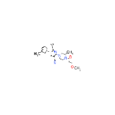 COCCC(=O)N1CCN(c2nc(C3CC3)c(-c3cccc(C)c3)cc2C#N)C[C@H]1C